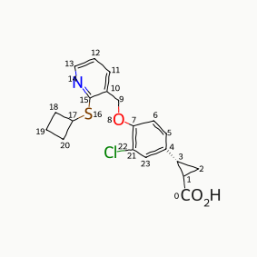 O=C(O)C1C[C@H]1c1ccc(OCc2cccnc2SC2CCC2)c(Cl)c1